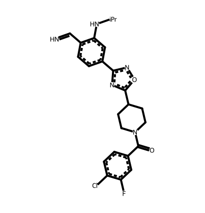 CC(C)Nc1cc(-c2noc(C3CCN(C(=O)c4ccc(Cl)c(F)c4)CC3)n2)ccc1C=N